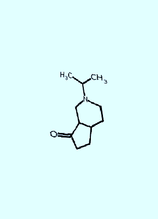 CC(C)N1CCC2CCC(=O)C2C1